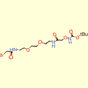 CC(C)(C)OC(=O)NOCC(=O)NCCOCCOCCNC(=O)CBr